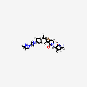 Cc1ccn(C2CN([C@H]3CC[C@H](C(C)c4sc5c(c4C)C(=O)N(Cc4c(C)cc(C)[nH]c4=O)CC5)CC3)C2)n1